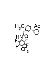 CC(=O)c1ccccc1-c1ccc(C)c(CC(=O)Nc2c(F)c(F)c(C(F)(F)F)c(F)c2F)c1